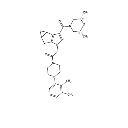 Cc1cccc(N2CCN(C(=O)Cn3nc(C(=O)N4C[C@@H](C)O[C@@H](C)C4)c4c3CC3CC43)CC2)c1C